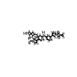 NC1(CC2CC3(CNC3)C2)CC(Nc2ccnc(-c3cnn(S(=O)(=O)C4CC4)c3)n2)=NC=C1c1ccn(C(F)F)n1